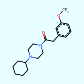 O=C(Cc1cccc(OC(F)(F)F)c1)N1CCN(C2CCCCC2)CC1